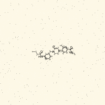 CCCC(=O)Nc1cc(CN2CCN(c3ccc(C(=O)NC)nc3C)CC2=O)ccn1